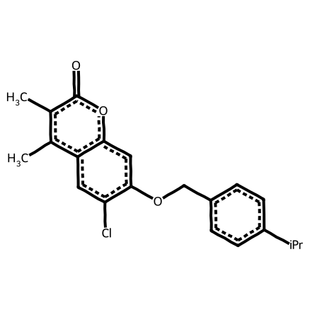 Cc1c(C)c2cc(Cl)c(OCc3ccc(C(C)C)cc3)cc2oc1=O